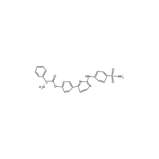 N[C@@H](C(=O)Oc1ccc(-c2ccnc(Nc3ccc(S(N)(=O)=O)cc3)n2)cc1)c1ccccc1